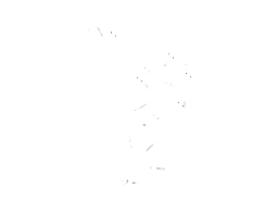 C=C(C)NCCn1nc(-c2cc3ccc(C(=C)OC)cc3[nH]2)c2c(N)ncnc21